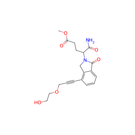 COC(=O)CCC(C(N)=O)N1Cc2c(C#CCOCCO)cccc2C1=O